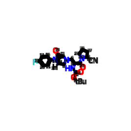 CC(C)(C)OC(=O)NC(CN1C[C@@H]2CC1C(=O)N2c1ccc(F)cc1)C(=O)N1CCCC1C#N